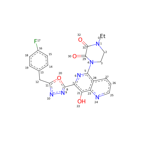 CCN1CCN(c2nc(-c3nnc(Cc4ccc(F)cc4)o3)c(O)c3ncccc23)C(=O)C1=O